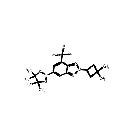 CC1(O)CC(n2nc3cc(B4OC(C)(C)C(C)(C)O4)cc(C(F)(F)F)c3n2)C1